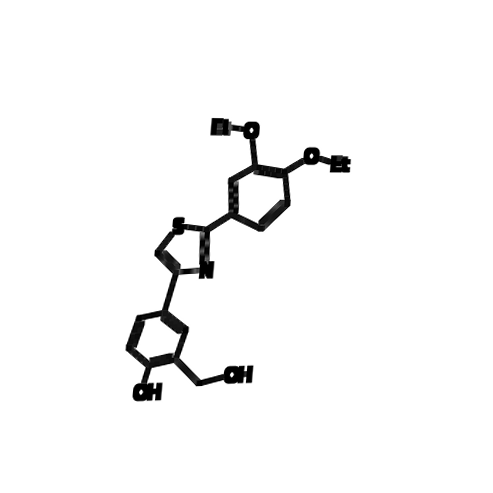 CCOc1ccc(-c2nc(-c3ccc(O)c(CO)c3)cs2)cc1OCC